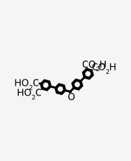 O=C(c1ccc(-c2ccc(C(=O)O)c(C(=O)O)c2)cc1)c1ccc(-c2ccc(C(=O)O)c(C(=O)O)c2)cc1